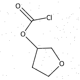 O=C(Cl)OC1CCOC1